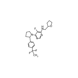 CC(F)(F)c1ccc(C2CCCN2c2ncnc(NCC3CCCO3)c2F)cc1